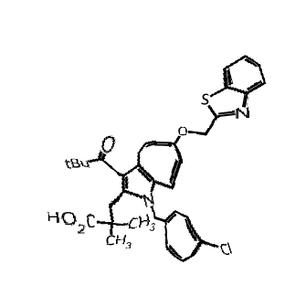 CC(C)(C)C(=O)c1c(CC(C)(C)C(=O)O)n(Cc2ccc(Cl)cc2)c2ccc(OCc3nc4ccccc4s3)cc12